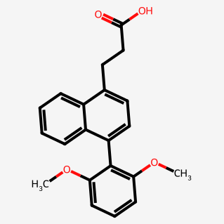 COc1cccc(OC)c1-c1ccc(CCC(=O)O)c2ccccc12